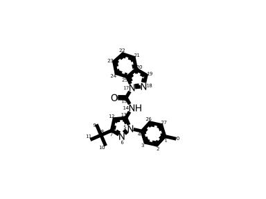 Cc1ccc(-n2nc(C(C)(C)C)cc2NC(=O)n2ncc3ccccc32)cc1